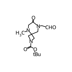 CN1CC(=O)N(CC=O)CC12CN(C(=O)OC(C)(C)C)C2